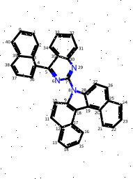 c1ccc2c(-c3nc(-n4c5ccc6ccccc6c5c5c6ccccc6ccc54)nc4ccccc34)cccc2c1